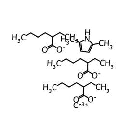 CCCCC(CC)C(=O)[O-].CCCCC(CC)C(=O)[O-].CCCCC(CC)C(=O)[O-].Cc1ccc(C)[nH]1.[Cr+3]